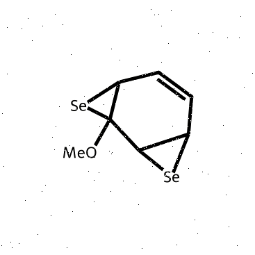 COC12[Se]C1C=CC1[Se]C12